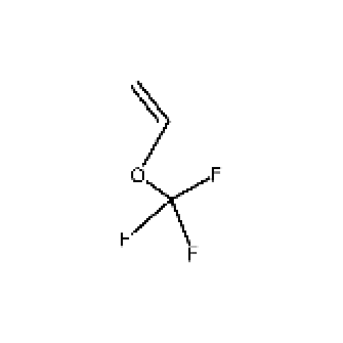 C=COC(F)(F)F